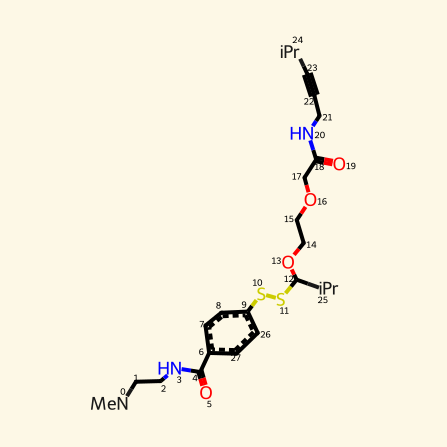 CNCCNC(=O)c1ccc(SSC(OCCOCC(=O)NCC#CC(C)C)C(C)C)cc1